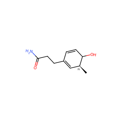 C[C@H]1C=C(CCC(N)=O)C=CC1O